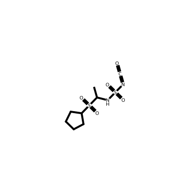 CC(NS(=O)(=O)N=C=O)S(=O)(=O)C1CCCC1